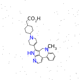 CN1Cc2c(C3=CCN(C4CCC(CC(=O)O)CC4)CC3)[nH]c3nccc(c23)-c2ccccc21